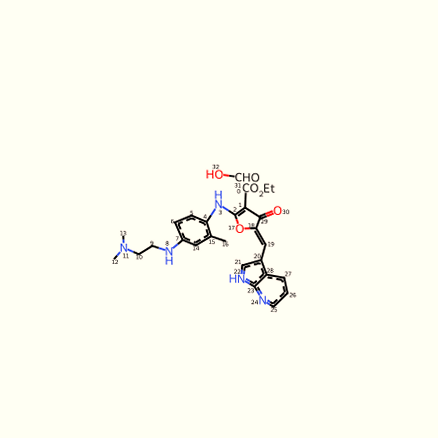 CCOC(=O)C1=C(Nc2ccc(NCCN(C)C)cc2C)OC(=Cc2c[nH]c3ncccc23)C1=O.O=CO